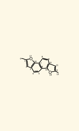 Cc1cc2ccc3c(ccc4cc(C)oc43)c2o1